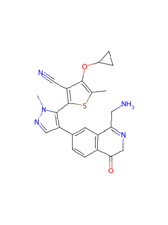 Cc1sc(-c2c(-c3ccc4c(c3)C(CN)=NCC4=O)cnn2C)c(C#N)c1OC1CC1